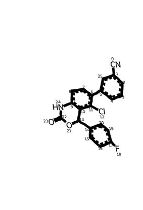 N#Cc1cccc(-c2ccc3c(c2Cl)C(c2ccc(F)cc2)OC(=O)N3)c1